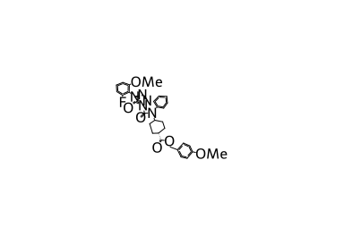 COc1ccc(COC(=O)[C@H]2CC[C@H](N(C(=O)n3nnn(-c4c(F)cccc4OC)c3=O)c3ccccc3)CC2)cc1